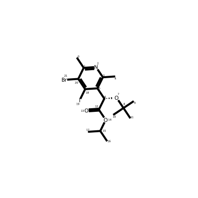 Cc1nc(C)c([C@H](OC(C)(C)C)C(=O)OC(C)C)c(I)c1Br